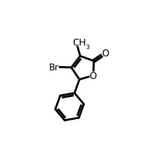 CC1=C(Br)C(c2ccccc2)OC1=O